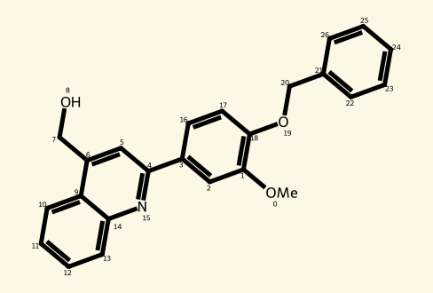 COc1cc(-c2cc(CO)c3ccccc3n2)ccc1OCc1ccccc1